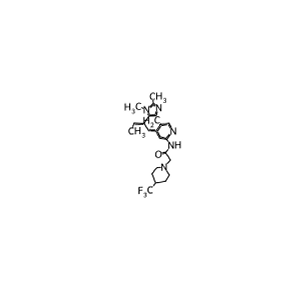 C=c1cnc(NC(=O)CN2CCC(C(F)(F)F)CC2)c/c1=C/C(=C\C)c1cnc(C)n1C